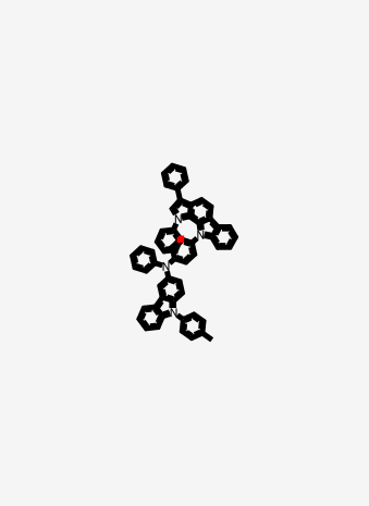 Cc1ccc(-n2c3ccccc3c3cc(N(c4ccccc4)c4ccc(-n5c6ccccc6c6ccc7c(-c8ccccc8)cn(-c8ccccc8)c7c65)cc4)ccc32)cc1